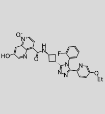 CCOc1ccc(-c2nnc([C@H]3C[C@H](NC(=O)c4cc[n+]([O-])c5cc(O)cnc45)C3)n2-c2ccccc2F)nc1